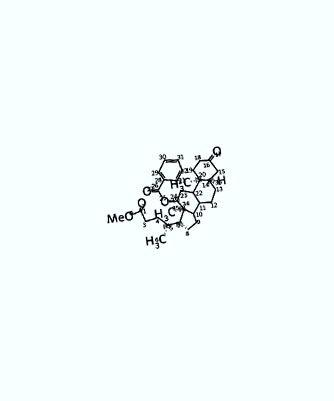 COC(=O)CC[C@@H](C)[C@H]1CCC2C3CC[C@@H]4CC(=O)CC[C@]4(C)C3C[C@H](OC(=O)c3ccccc3)[C@@]21C